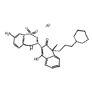 CC1(CCCC2CCCCC2)C(=O)C(C2=NS(=O)(=O)c3cc(N)ccc3N2)=C(O)c2ccccc21.Cl